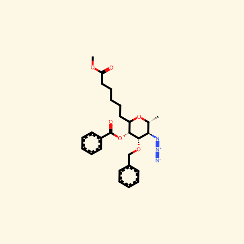 COC(=O)CCCCC[C]1O[C@H](C)[C@@H](N=[N+]=[N-])[C@H](OCc2ccccc2)[C@@H]1OC(=O)c1ccccc1